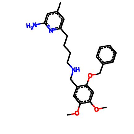 COc1cc(CNCCCCc2cc(C)cc(N)n2)c(OCc2ccccc2)cc1OC